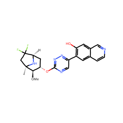 CO[C@@H]1[C@@H](Oc2ncc(-c3cc4ccncc4cc3O)nn2)C[C@H]2N[C@]1(C)CC2(F)F